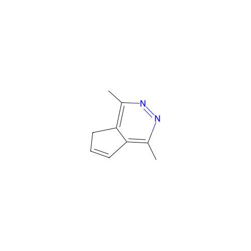 Cc1nnc(C)c2c1C=CC2